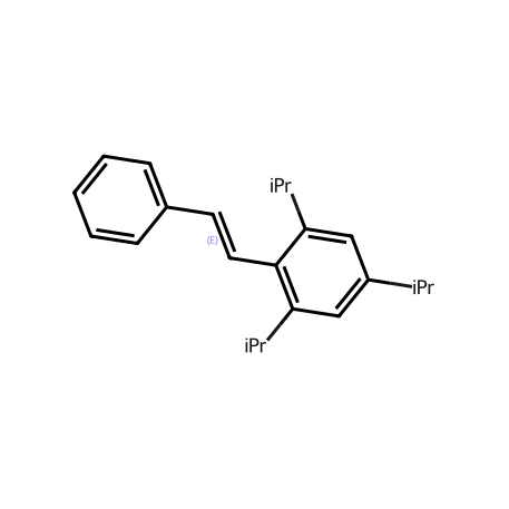 CC(C)c1cc(C(C)C)c(/C=C/c2ccccc2)c(C(C)C)c1